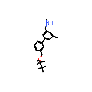 CNCc1cc(C)cc(-c2cccc(CO[Si](C)(C)C(C)(C)C)c2)c1